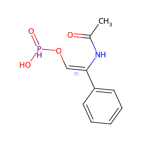 CC(=O)N/C(=C\O[PH](=O)O)c1ccccc1